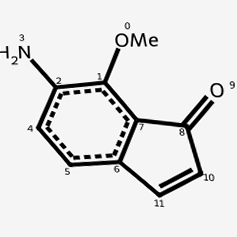 COc1c(N)ccc2c1C(=O)C=C2